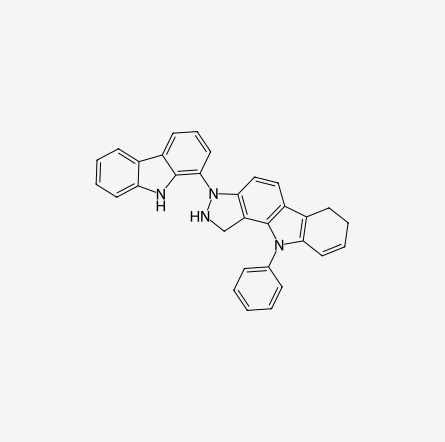 C1=Cc2c(c3ccc4c(c3n2-c2ccccc2)CNN4c2cccc3c2[nH]c2ccccc23)CC1